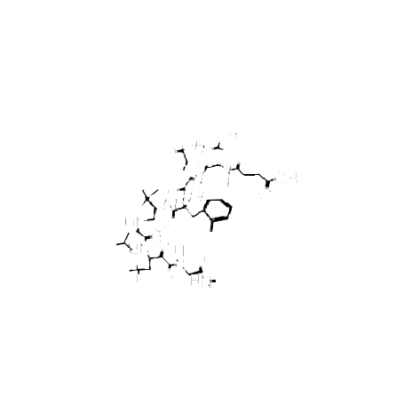 CNC(=O)CNC(=O)C(=O)C(CC(F)(F)F)NC(=O)[C@H](CC(C)C)NC(=O)[C@@H](NC(=O)[C@H](Cc1ccccc1C)NC(=O)[C@H](CCC(=O)O)NC(=O)[C@H](CC(=O)O)NC(=O)CCC(=O)O)C(C)(C)C